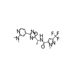 C[C@H](NC(=O)c1cc(C(F)(F)F)nn1C)c1nc(-c2ccnc(N(C)C)c2)no1